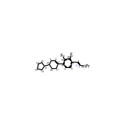 CCC/C=C/c1ccc(C2=CCC(C3CCCC3)CC2)c(F)c1F